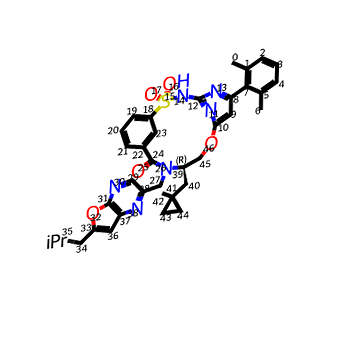 Cc1cccc(C)c1-c1cc2nc(n1)NS(=O)(=O)c1cccc(c1)C(=O)N(Cc1cnc3oc(CC(C)C)cc3n1)[C@H](CC1(C)CC1)CO2